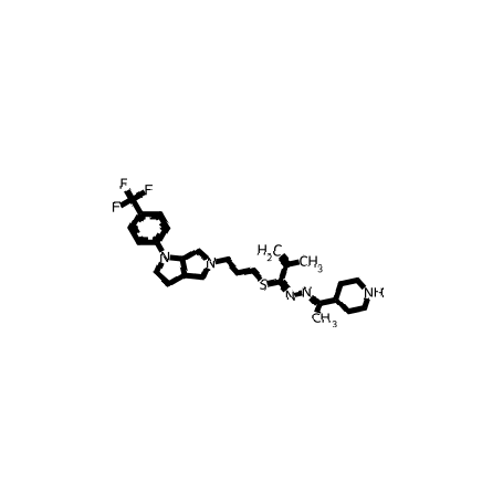 C=C(C)/C(=N\N=C(/C)C1CCNCC1)SCCCN1CC2CCN(c3ccc(C(F)(F)F)cc3)C2C1